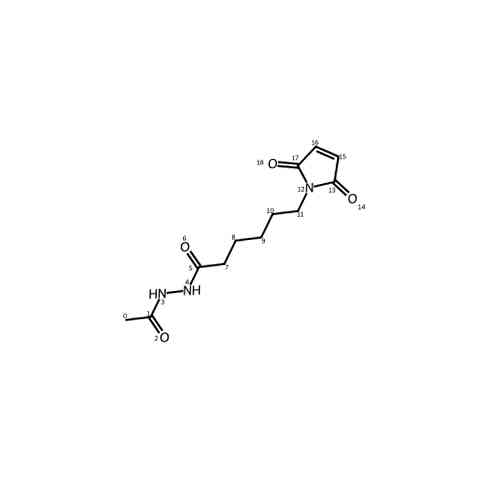 CC(=O)NNC(=O)CCCCCN1C(=O)C=CC1=O